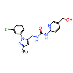 CC(C)(C)c1cc(CNC(=O)Nc2ccc(CO)cn2)n(-c2cccc(Cl)c2)n1